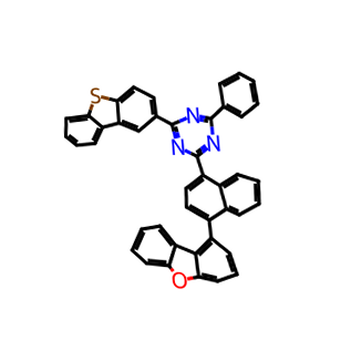 c1ccc(-c2nc(-c3ccc4sc5ccccc5c4c3)nc(-c3ccc(-c4cccc5oc6ccccc6c45)c4ccccc34)n2)cc1